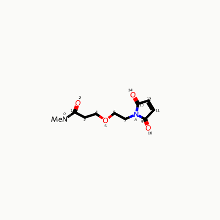 CNC(=O)CCOCCN1C(=O)C=CC1=O